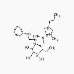 CCC[C@@H]1C[C@@H](C(=O)N[C@H](CNc2ccccc2)[C@H]2OC(SC)[C@H](O)C(O)C2O)N(C)C1